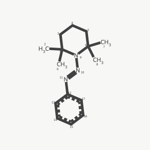 CC1(C)CCCC(C)(C)N1/N=N/c1ccccc1